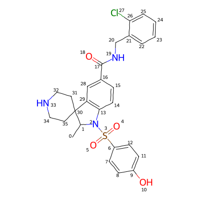 CC1N(S(=O)(=O)c2ccc(O)cc2)c2ccc(C(=O)NCc3ccccc3Cl)cc2C12CCNCC2